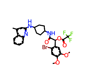 COc1cc(Br)c(C(OC(=O)C(F)(F)F)C(=O)NC2CCC(Nc3cc(C)c4ccccc4n3)CC2)cc1OC